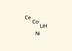 [Ce].[Co].[LiH].[Ni]